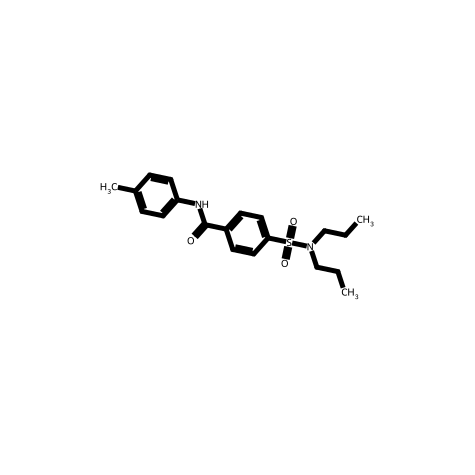 CCCN(CCC)S(=O)(=O)c1ccc(C(=O)Nc2ccc(C)cc2)cc1